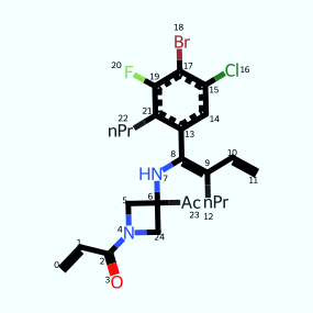 C=CC(=O)N1CC(N/C(=C(/C=C)CCC)c2cc(Cl)c(Br)c(F)c2CCC)(C(C)=O)C1